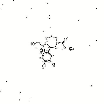 CC(C)(C)OC(=O)N1CCO[C@@H]([C@H](O)CO)[C@H](c2ccc(Cl)c(Cl)c2)C1